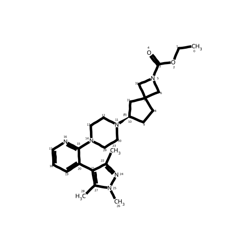 CCOC(=O)N1CC2(CC[C@@H](N3CCN(c4ncccc4-c4c(C)nn(C)c4C)CC3)C2)C1